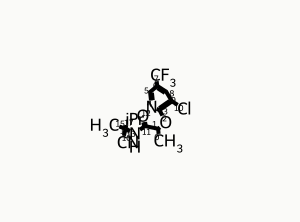 CC(Oc1ncc(C(F)(F)F)cc1Cl)C(=O)NC(C)(C#N)C(C)C